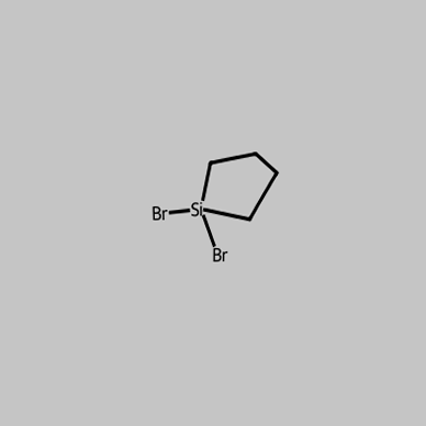 Br[Si]1(Br)CCCC1